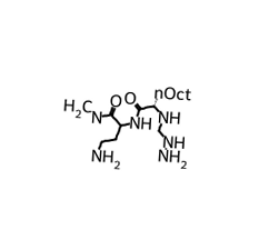 C=NC(=O)C(CCN)NC(=O)[C@H](CCCCCCCC)NCNN